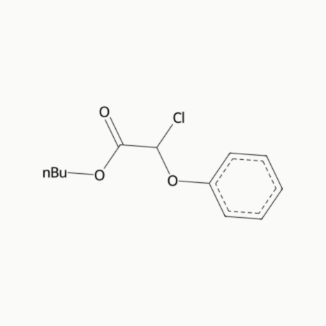 CCCCOC(=O)C(Cl)Oc1ccccc1